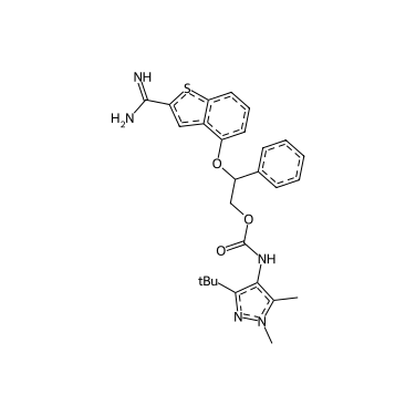 Cc1c(NC(=O)OCC(Oc2cccc3sc(C(=N)N)cc23)c2ccccc2)c(C(C)(C)C)nn1C